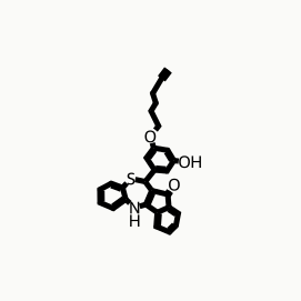 C#CCCCCOc1cc(O)cc(C2Sc3ccccc3NC3=C2C(=O)c2ccccc23)c1